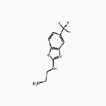 NCCNc1nc2cc(C(F)(F)F)ccc2o1